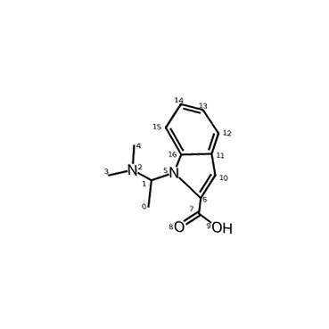 CC(N(C)C)n1c(C(=O)O)cc2ccccc21